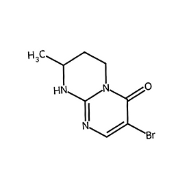 CC1CCn2c(ncc(Br)c2=O)N1